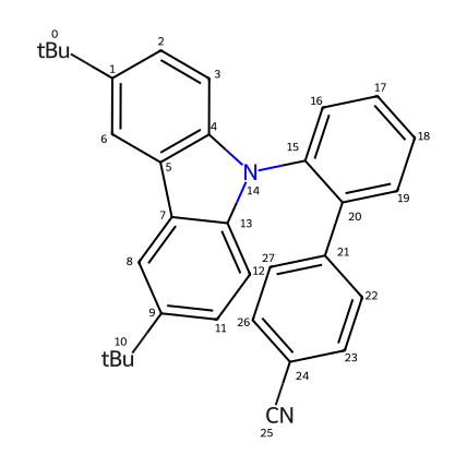 CC(C)(C)c1ccc2c(c1)c1cc(C(C)(C)C)ccc1n2-c1ccccc1-c1ccc(C#N)cc1